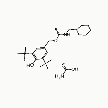 CC(C)(C)c1cc(COC(=S)NCC2CCCCC2)cc(C(C)(C)C)c1O.NC(O)=S